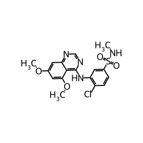 CNS(=O)(=O)c1ccc(Cl)c(Nc2ncnc3cc(OC)cc(OC)c23)c1